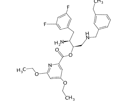 CCOc1cc(OCC)nc(C(=O)O[C@H](CNCc2cccc(CC)c2)[C@@H](N)Cc2cc(F)cc(F)c2)c1